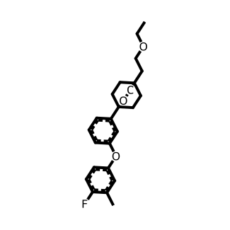 CCOCCC12CCC(c3cccc(Oc4ccc(F)c(C)c4)c3)(CC1)OC2